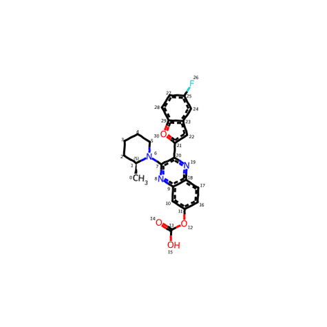 C[C@H]1CCCCN1c1nc2cc(OC(=O)O)ccc2nc1-c1cc2cc(F)ccc2o1